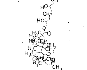 CCC(C)(C(CC(C)(C)C)C(=O)NC(C)(C)CC(C)=O)C(C)(C)CC(C)(C(=O)OCC(O)C[S+]([O-])CC(O)CO)C(C)(C)C